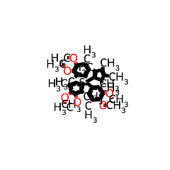 COc1c(C)cc([Si](C2=C(C)C(C)=C(C)C2C)(c2cc(C)c(OC)c(OC)c2C)c2cc(C)c(OC)c(OC)c2C)c(C)c1OC